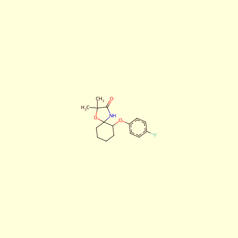 CC1(C)OC2(CCCCC2Oc2ccc(F)cc2)NC1=O